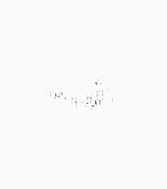 CC(=O)NCCCNCCCNC(=O)CC(C)(C)COCC(C)(C)CNC(=O)CCN1C(=O)C=CC1=O